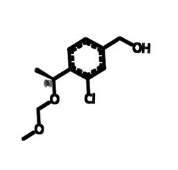 COCO[C@@H](C)c1ccc(CO)cc1Cl